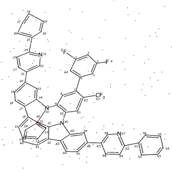 Fc1cc(F)cc(-c2cc(-n3c4ccccc4c4ccc(-c5ccc(-c6ccccc6)nc5)cc43)c(-n3c4ccccc4c4ccc(-c5ccc(-c6ccccc6)nc5)cc43)cc2C(F)(F)F)c1